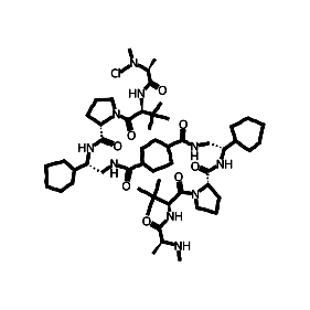 CN[C@@H](C)C(=O)N[C@H](C(=O)N1CCC[C@H]1C(=O)N[C@H](CNC(=O)C1CCC(C(=O)NC[C@@H](NC(=O)[C@@H]2CCCN2C(=O)[C@@H](NC(=O)[C@H](C)N(C)Cl)C(C)(C)C)C2CCCCC2)CC1)C1CCCCC1)C(C)(C)C